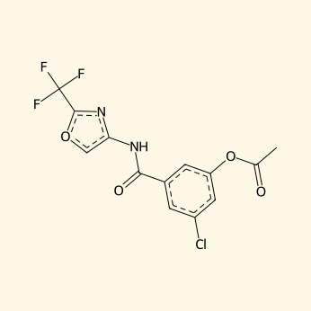 CC(=O)Oc1cc(Cl)cc(C(=O)Nc2coc(C(F)(F)F)n2)c1